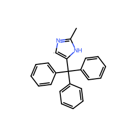 Cc1n[c]c(C(c2ccccc2)(c2ccccc2)c2ccccc2)[nH]1